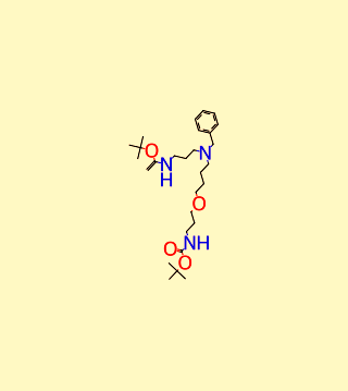 C=C(NCCCN(CCCCOCCCNC(=O)OC(C)(C)C)Cc1ccccc1)OC(C)(C)C